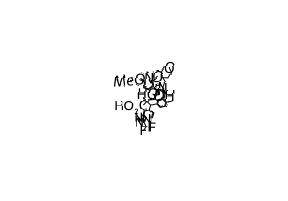 COc1ccc2c(n1)OC1(CCOCC1)CN(Cc1cc(C(c3ccn4c(C(F)F)nnc4c3C)C(C)(C)C(=O)O)ccc1C)S2(O)O